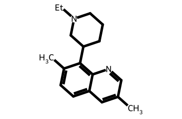 CCN1CCCC(c2c(C)ccc3cc(C)cnc23)C1